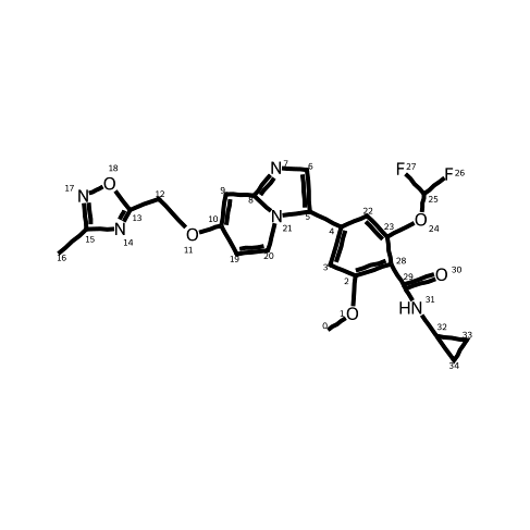 COc1cc(-c2cnc3cc(OCc4nc(C)no4)ccn23)cc(OC(F)F)c1C(=O)NC1CC1